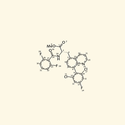 COC(=O)[C@H](Cc1ccc(-c2c(Cl)cc(F)cc2Cl)c2ncccc12)NC(=O)c1c(F)cccc1F